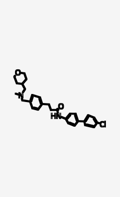 CN(Cc1ccc(CCC(=O)Nc2ccc(-c3ccc(Cl)cc3)cc2)cc1)CC1CCOCC1